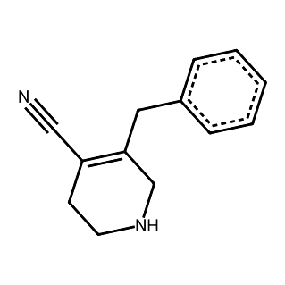 N#CC1=C(Cc2ccccc2)CNCC1